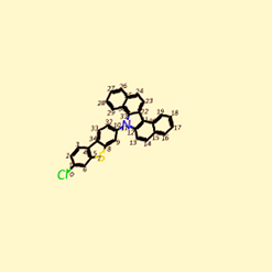 Clc1ccc2c(c1)sc1cc(-n3c4ccc5ccccc5c4c4ccc5ccccc5c43)ccc12